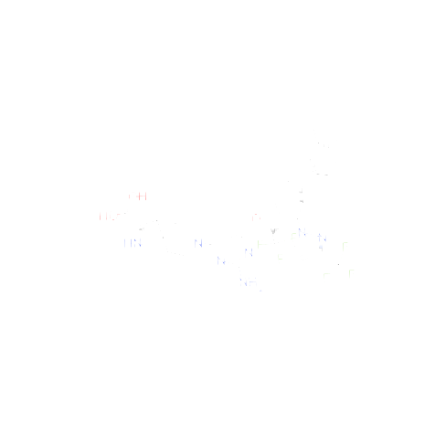 Cc1ccc(-c2ccc([C@@H](Oc3cc(N4CCC5(CC4)CN[C@H](C(O)O)C5)nc(N)n3)C(F)(F)F)c(-n3ccc(C(F)(F)F)n3)c2)cc1C